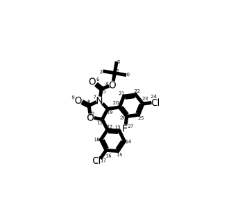 CC(C)(C)OC(=O)N1C(=O)OC(c2cccc(Cl)c2)C1c1ccc(Cl)cc1F